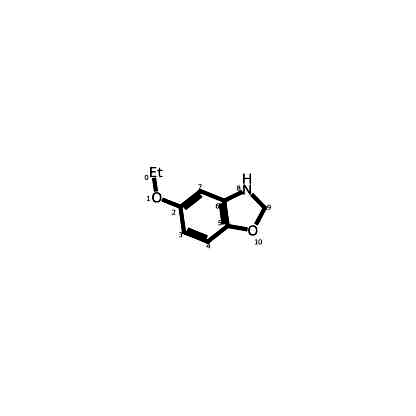 CCOc1ccc2c(c1)NCO2